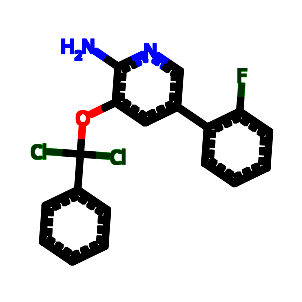 Nc1ncc(-c2ccccc2F)cc1OC(Cl)(Cl)c1ccccc1